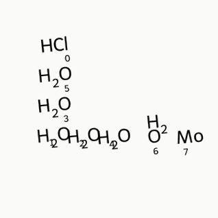 Cl.O.O.O.O.O.O.[Mo]